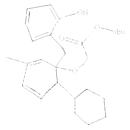 CC1=CC(Cc2ccccc2O)(OCC(=O)OC(C)(C)C)C(C2CCCCC2)C=C1